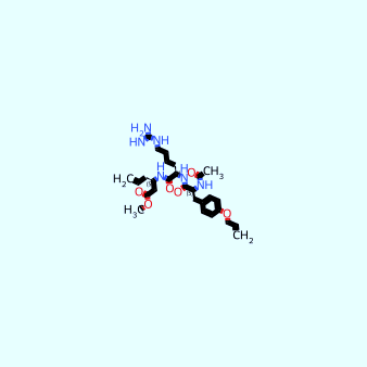 C=CCOc1ccc(C[C@H](NC(C)=O)C(=O)N[C@@H](CCCCNC(=N)N)C(=O)N[C@@H](CC=C)CC(=O)OC)cc1